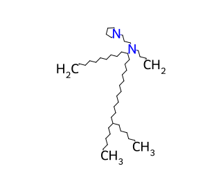 C=CCCCCCCCCC(CCCCCCCCCCCCC(CCCCCC)CCCCCC)N(CCC=C)CCCN1CCCC1